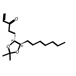 C=CC(=O)CC[C@H]1OC(C)(C)O[C@@H]1CCCCCCC